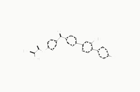 C=C(C)C(=O)Oc1ccc(C(=O)c2ccc(-c3ccc(-c4ccc(C(F)(F)F)cc4)c(C)c3)cc2)cc1